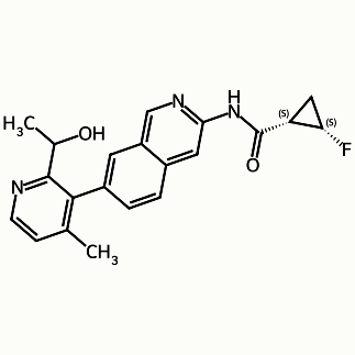 Cc1ccnc(C(C)O)c1-c1ccc2cc(NC(=O)[C@@H]3C[C@@H]3F)ncc2c1